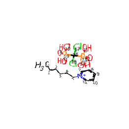 CCCCCC[n+]1ccccc1.O=P(O)(O)C(Cl)(Cl)P(=O)(O)O